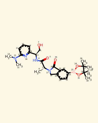 C[C@H](C(=O)N[C@H](CO)c1cccc(N(C)C)n1)N1Cc2ccc(B3OC(C)(C)C(C)(C)O3)cc2C1=O